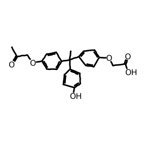 CC(=O)COc1ccc(C(C)(c2ccc(O)cc2)c2ccc(OCC(=O)O)cc2)cc1